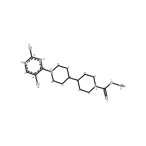 CC(C)(C)OC(=O)N1CCC(C2CCN(c3nc(Cl)ncc3Cl)CC2)CC1